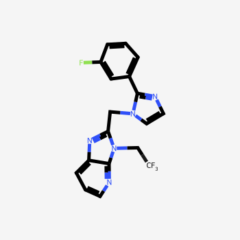 Fc1cccc(-c2nccn2Cc2nc3cccnc3n2CC(F)(F)F)c1